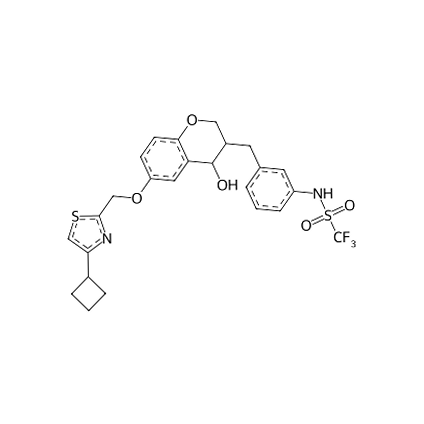 O=S(=O)(Nc1cccc(CC2COc3ccc(OCc4nc(C5CCC5)cs4)cc3C2O)c1)C(F)(F)F